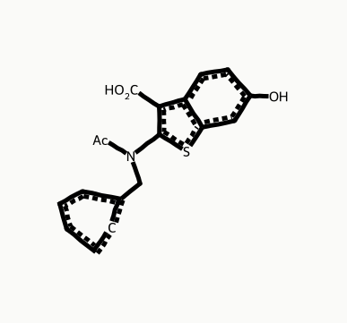 CC(=O)N(Cc1ccccc1)c1sc2cc(O)ccc2c1C(=O)O